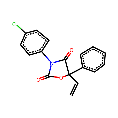 C=CC1(c2ccccc2)OC(=O)N(c2ccc(Cl)cc2)C1=O